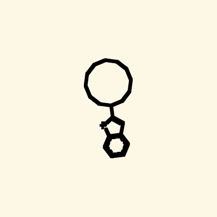 C1=C(C2CCCCCCCCCCC2)[P]c2ccccc21